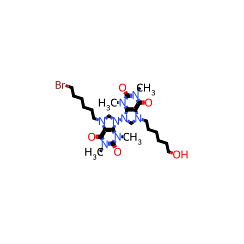 Cn1c2c(c(=O)n(C)c1=O)N(CCCCCCO)CN2N1CN(CCCCCCBr)c2c1n(C)c(=O)n(C)c2=O